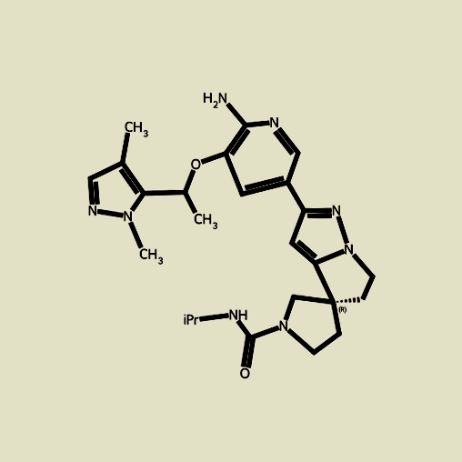 Cc1cnn(C)c1C(C)Oc1cc(-c2cc3n(n2)CC[C@@]32CCN(C(=O)NC(C)C)C2)cnc1N